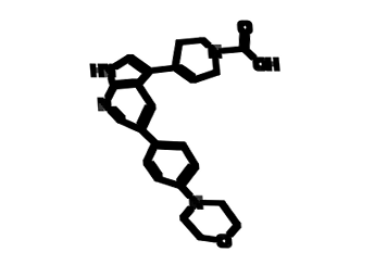 O=C(O)N1CC=C(c2c[nH]c3ncc(-c4ccc(N5CCOCC5)cc4)cc23)CC1